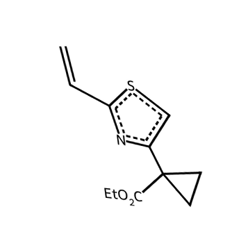 C=Cc1nc(C2(C(=O)OCC)CC2)cs1